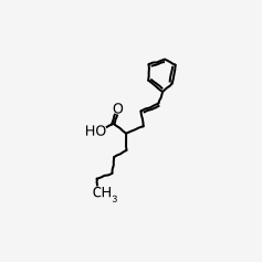 CCCCCC(C/C=C/c1ccccc1)C(=O)O